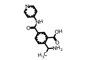 CC(N)c1ccc(C(=O)Nc2ccncc2)cc1C(=O)O